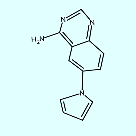 Nc1ncnc2ccc(-n3cccc3)cc12